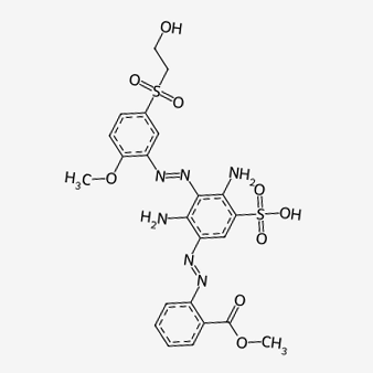 COC(=O)c1ccccc1/N=N/c1cc(S(=O)(=O)O)c(N)c(/N=N/c2cc(S(=O)(=O)CCO)ccc2OC)c1N